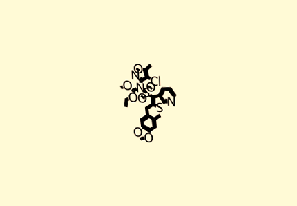 CCOC(OC)N(c1noc(C)c1Cl)S(=O)(=O)c1c(Cc2cc3c(cc2C)OCO3)sc2ncccc12